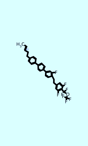 C/C=C/CCc1ccc(-c2ccc(-c3ccc(CCc4cc(F)c(C(F)(F)OC(F)(F)F)c(F)c4)c(F)c3)cc2)cc1